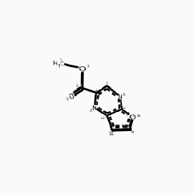 COC(=O)c1cnc2occc2n1